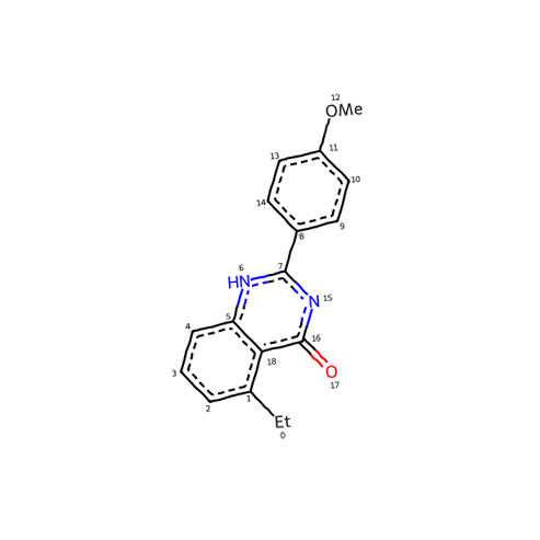 CCc1cccc2[nH]c(-c3ccc(OC)cc3)nc(=O)c12